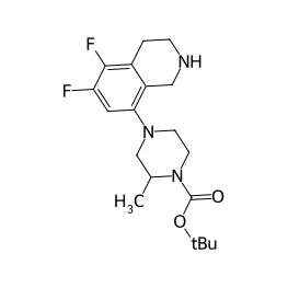 CC1CN(c2cc(F)c(F)c3c2CNCC3)CCN1C(=O)OC(C)(C)C